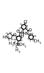 Cc1ccc(NC(=O)c2cc(Cl)ccc2NC(=O)c2ccc(C(C)(C)C)cc2OC2CCNCC2)nc1